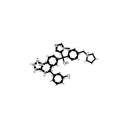 Cn1cncc1C(O)(c1ccc(CN2CCCC2)cc1)c1ccc2c(c1)c(-c1cccc(Cl)c1)nc1nnnn12